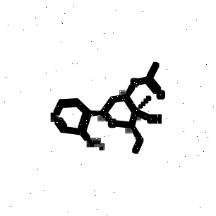 CC[C@H]1O[C@@H](c2ccncc2N)C[C@@H](OC(C)=O)[C@@]1(C)O